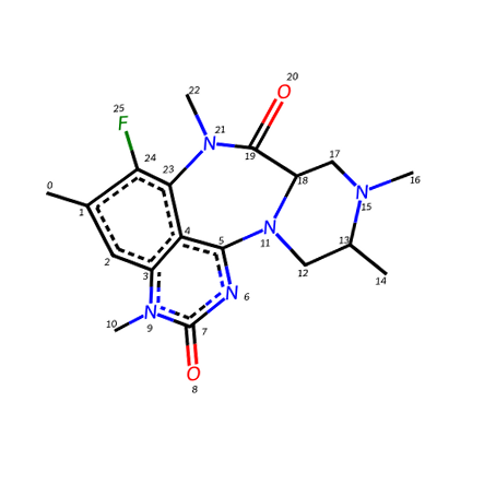 Cc1cc2c3c(nc(=O)n2C)N2CC(C)N(C)CC2C(=O)N(C)c3c1F